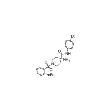 CCCCc1ccccc1S(=O)(=O)N1CCC(N)(C(=O)Nc2ccc(CC)cc2)CC1